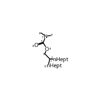 CCCCCCCC(CCCCCCC)COC(=O)N(C)C